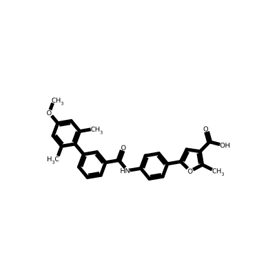 COc1cc(C)c(-c2cccc(C(=O)Nc3ccc(-c4cc(C(=O)O)c(C)o4)cc3)c2)c(C)c1